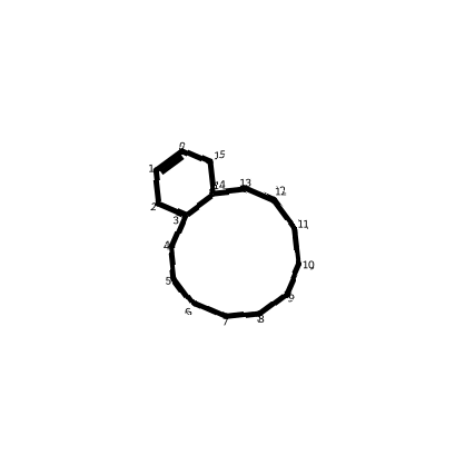 C1=CCC2CCCCCCCCCCC2C1